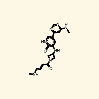 CNCC=CC(=O)N1CC(Nc2cc(-c3cc(NC)ncn3)c[nH]c2=O)C1